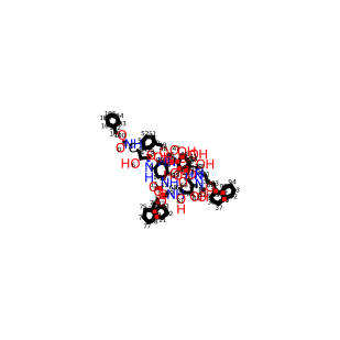 O=C(NCC[C@H](O)C(=O)N[C@@H]1C[C@H](NC(=O)OCc2ccccc2)[C@@H](O[C@H]2O[C@H](CNCCCc3ccccc3)[C@@H](O)[C@H](O)[C@H]2NC(=O)OCc2ccccc2)[C@H](O[C@@H]2O[C@H](CO)[C@@H](O[C@H]3O[C@@H](CNC(=O)OCc4ccccc4)[C@@H](O)[C@H](O)[C@H]3NC(=O)OCc3ccccc3)[C@H]2O)[C@H]1O)OCc1ccccc1